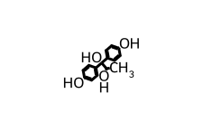 CC(O)C(O)(c1ccc(O)cc1)c1ccc(O)cc1